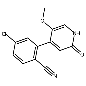 COc1c[nH]c(=O)cc1-c1cc(Cl)ccc1C#N